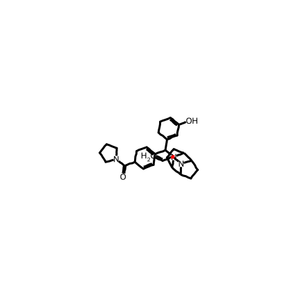 C=CCN1C2CCC1C1CCC2N1C(C1=CCC(C(=O)N2CCCC2)C=C1)C1=CC(O)=CCC1